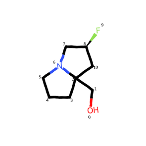 OCC12CCCN1C[C@@H](F)C2